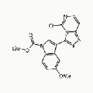 COc1ccc2c(c1)c(-c1nnc3ccnc(Cl)n13)cn2C(=O)OC(C)(C)C